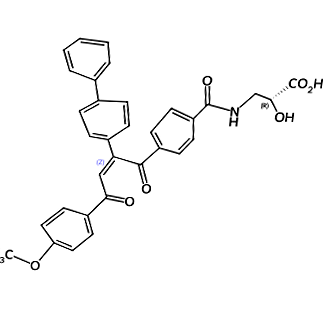 O=C(/C=C(\C(=O)c1ccc(C(=O)NC[C@@H](O)C(=O)O)cc1)c1ccc(-c2ccccc2)cc1)c1ccc(OC(F)(F)F)cc1